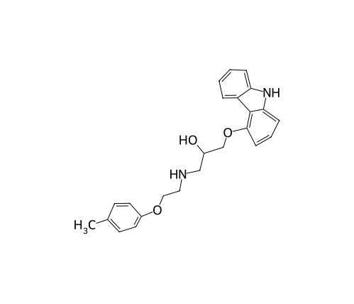 Cc1ccc(OCCNCC(O)COc2cccc3[nH]c4ccccc4c23)cc1